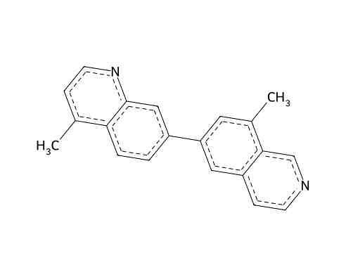 Cc1cc(-c2ccc3c(C)ccnc3c2)cc2ccncc12